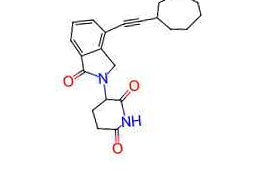 O=C1CCC(N2Cc3c(C#CC4CCCCCC4)cccc3C2=O)C(=O)N1